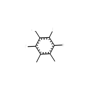 Cc1c(C)c(F)c(Cl)c(F)c1F